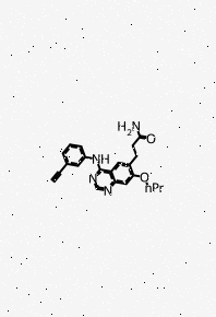 C#Cc1cccc(Nc2ncnc3cc(OCCC)c(CCC(N)=O)cc23)c1